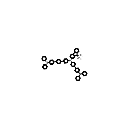 CC1(C)c2ccccc2-c2ccc(N(c3ccc(-c4ccc(-c5ccc(N(c6ccccc6)c6ccccc6)cc5)cc4)cc3)c3ccc(-c4ccc(N(c5ccccc5)c5ccccc5)cc4)cc3)cc21